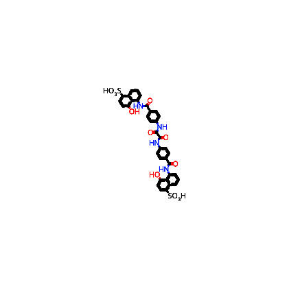 O=C(Nc1ccc(C(=O)Nc2cccc3c(S(=O)(=O)O)ccc(O)c23)cc1)C(=O)Nc1ccc(C(=O)Nc2cccc3c(S(=O)(=O)O)ccc(O)c23)cc1